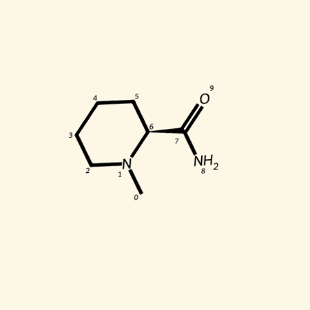 CN1CCCC[C@H]1C(N)=O